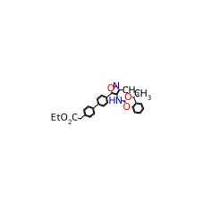 CCOC(=O)Cc1ccc(-c2ccc(-c3onc(C)c3NC(=O)OC(C)c3ccccc3)cc2)cc1